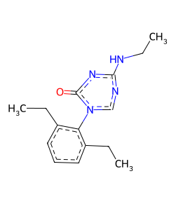 CCNc1ncn(-c2c(CC)cccc2CC)c(=O)n1